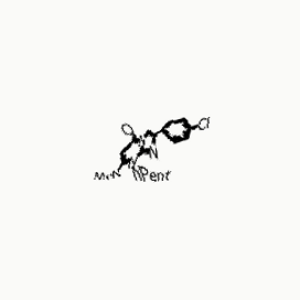 CCCCCn1c(NC)cc(=O)n2cc(-c3ccc(Cl)cc3)nc12